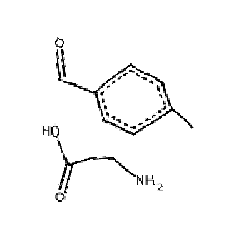 Cc1ccc(C=O)cc1.NCC(=O)O